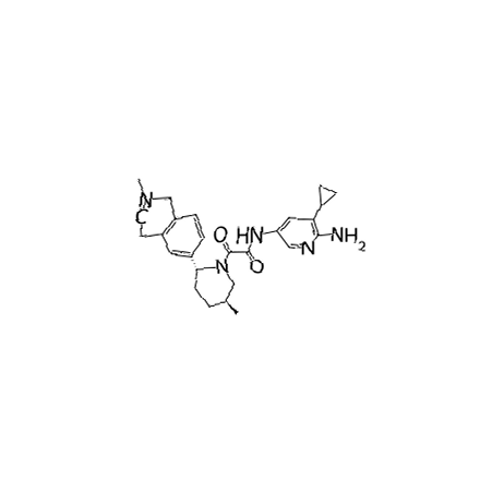 C[C@H]1CC[C@H](c2ccc3c(c2)CCN(C)C3)N(C(=O)C(=O)Nc2cnc(N)c(C3CC3)c2)C1